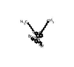 CCCCCCCCCCOc1cccc(-c2nc3c(nc2-c2cccc(OCCCCCCCCCC)c2)=C(c2ccc(Br)s2)CCC=3c2ccc(Br)s2)c1